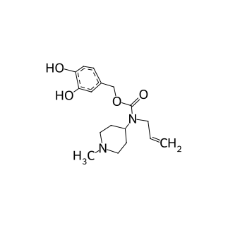 C=CCN(C(=O)OCc1ccc(O)c(O)c1)C1CCN(C)CC1